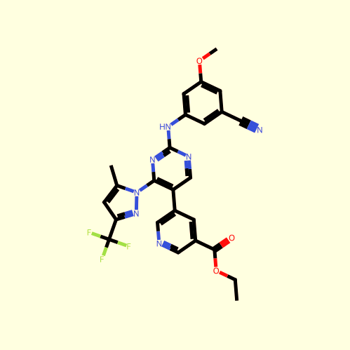 CCOC(=O)c1cncc(-c2cnc(Nc3cc(C#N)cc(OC)c3)nc2-n2nc(C(F)(F)F)cc2C)c1